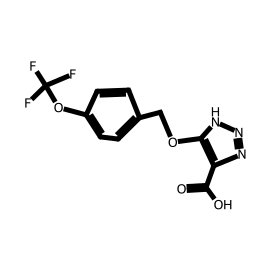 O=C(O)c1nn[nH]c1OCc1ccc(OC(F)(F)F)cc1